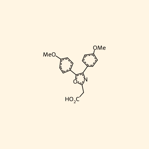 COc1ccc(-c2nc(CC(=O)O)oc2-c2ccc(OC)cc2)cc1